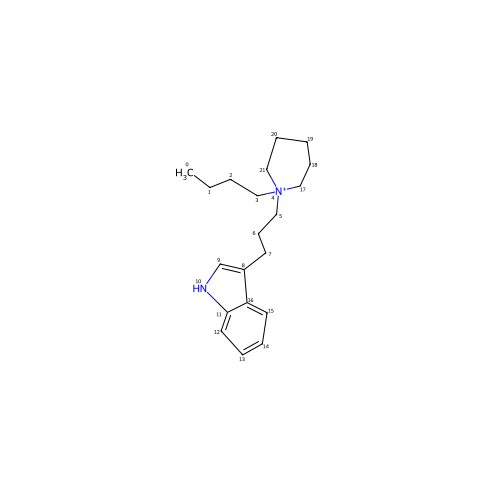 CCCC[N+]1(CCCc2c[nH]c3ccccc23)CCCCC1